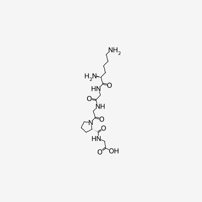 NCCCC[C@H](N)C(=O)NCC(=O)NCC(=O)N1CCC[C@H]1C(=O)NCC(=O)O